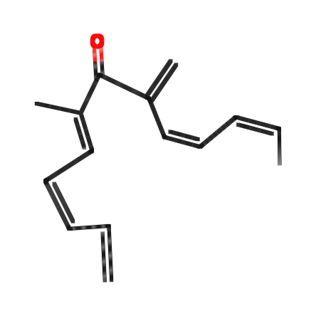 C=C/C=C\C=C(/C)C(=O)C(=C)/C=C\C=C/C